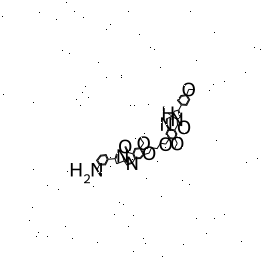 COc1ccc(C2=CN3C(=O)c4cc(OC)c(OCCCOc5cc6c(cc5OC)C(=O)N5C=C(c7cccc(N)c7)CC5C=N6)cc4N=C[C@@H]3C2)cc1